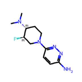 CN(C)[C@@H]1CCN(c2ccc(N)nn2)C[C@H]1F